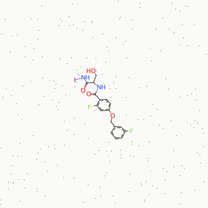 O=C(NC(CO)C(=O)NI)c1ccc(OCc2cccc(F)c2)cc1F